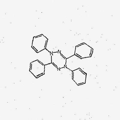 c1ccc(C2=NN(c3ccccc3)C(c3ccccc3)=NN2c2ccccc2)cc1